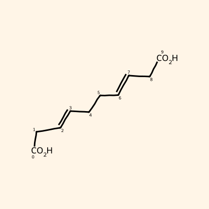 O=C(O)CC=CCCC=CCC(=O)O